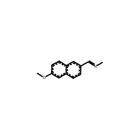 CN=Cc1ccc2cc(OC)ccc2c1